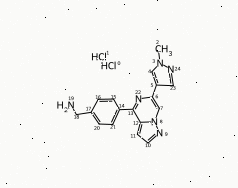 Cl.Cl.Cn1cc(-c2cn3nccc3c(-c3ccc(CN)cc3)n2)cn1